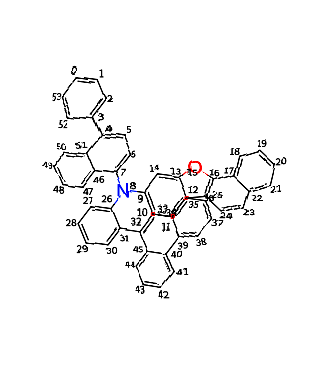 c1ccc(-c2ccc(N(c3ccc4c(c3)oc3c5ccccc5ccc43)c3ccccc3-c3cc4ccccc4c4ccccc34)c3ccccc23)cc1